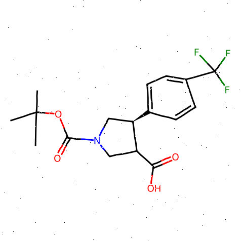 CC(C)(C)OC(=O)N1CC(C(=O)O)[C@H](c2ccc(C(F)(F)F)cc2)C1